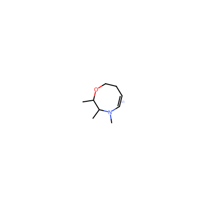 CC1OCC/C=C\N(C)C1C